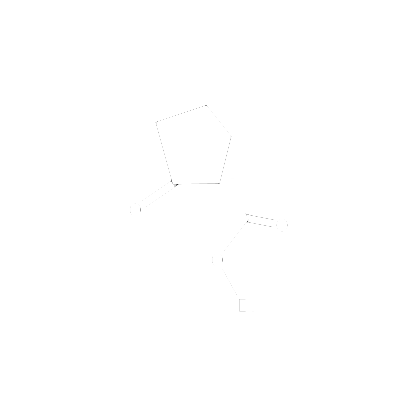 CCOC(=O)[C@H]1CCCC1=O